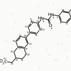 Cc1cccc(NC(=O)Nc2ncc(-c3ccc4c(c3)CCC(CC(=O)O)C4)cn2)c1